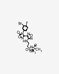 CS(=O)(=O)N=S(C)(=O)CCNc1nonc1-c1noc(=O)n1-c1ccc(F)c(Br)c1